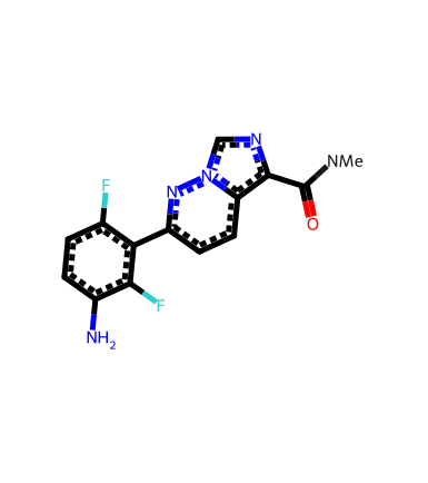 CNC(=O)c1ncn2nc(-c3c(F)ccc(N)c3F)ccc12